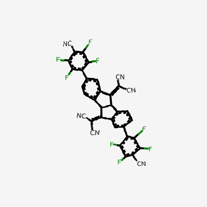 N#CC(C#N)=C1c2cc(-c3c(F)c(F)c(C#N)c(F)c3F)ccc2C2C(=C(C#N)C#N)c3cc(-c4c(F)c(F)c(C#N)c(F)c4F)ccc3C12